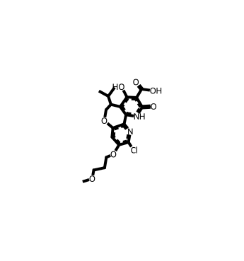 COCCCOc1cc2c(nc1Cl)-c1[nH]c(=O)c(C(=O)O)c(O)c1C(C(C)C)CO2